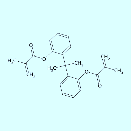 C=C(C)C(=O)Oc1ccccc1C(C)(C)c1ccccc1OC(=O)C(=C)C